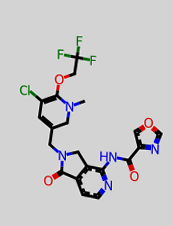 CN1CC(CN2Cc3c(ccnc3NC(=O)c3cocn3)C2=O)=CC(Cl)=C1OCC(F)(F)F